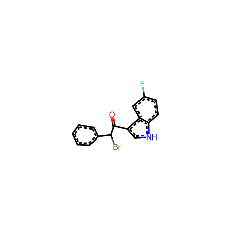 O=C(c1c[nH]c2ccc(F)cc12)C(Br)c1ccccc1